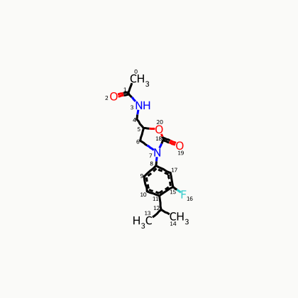 CC(=O)NCC1CN(c2ccc(C(C)C)c(F)c2)C(=O)O1